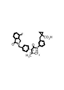 C[C@@H]([C@@H](C(=O)Nc1cccc(CC2(C(=O)O)CC2)c1)c1ccc(CN2Cc3c(F)cccc3C2=O)cc1)C(F)(F)F